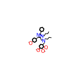 CCCCN(Cc1ccc(OC)c(OC)c1OC)Cc1c(-c2ccc(OC)cc2)nc(-c2ccccc2)n1CCCC